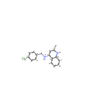 Cc1cc(NCc2ccc(Cl)cc2)c2ccccc2n1